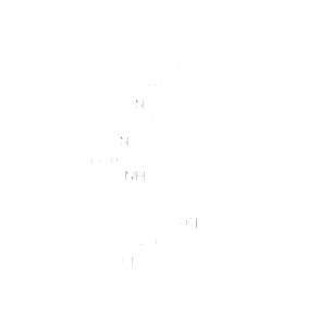 O=C(NCc1cc(Cl)cc(C(F)(F)F)c1)N1CCN(Cc2ccccc2)CC1